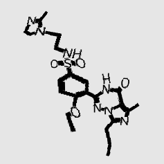 CCCc1nc(C)c2c(=O)[nH]c(-c3cc(S(=O)(=O)NCCN4CCN=C4C)ccc3OCC)nn12